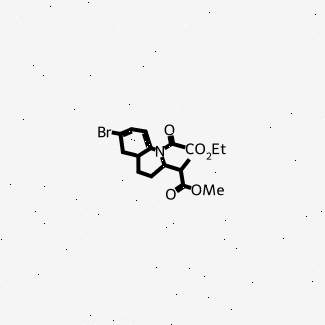 CCOC(=O)C(=O)N1C2=CC=C(Br)CC2CCC1C(C)C(=O)OC